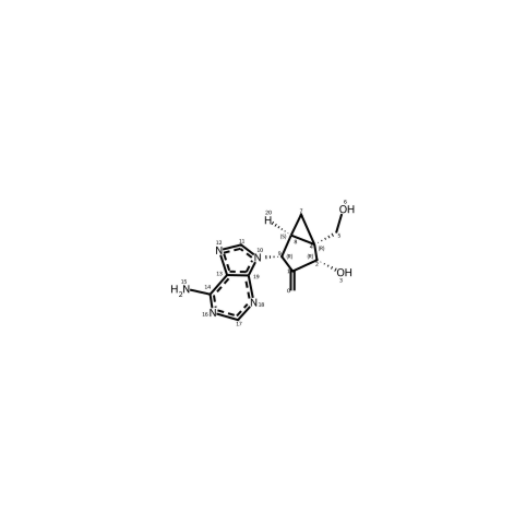 C=C1[C@@H](O)[C@]2(CO)C[C@@H]2[C@H]1n1cnc2c(N)ncnc21